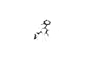 CCOC(=O)C1=C(CBr)NC(c2nccs2)=NC1c1ccc(F)cc1Br